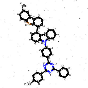 CCCCc1ccc(-c2nc(-c3ccccc3)nc(-c3ccc(-n4c5ccccc5c5c(-c6cccc7c6sc6ccc(CCCC)cc67)cccc54)cc3)n2)cc1